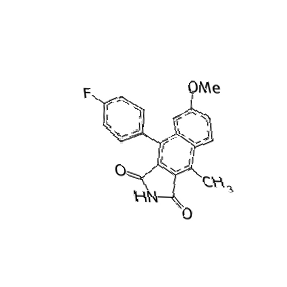 COc1ccc2c(C)c3c(c(-c4ccc(F)cc4)c2c1)C(=O)NC3=O